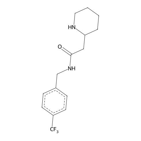 O=C(CC1CCCCN1)NCc1ccc(C(F)(F)F)cc1